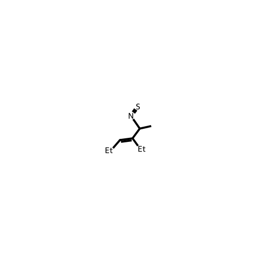 CC/C=C(\CC)C(C)N=S